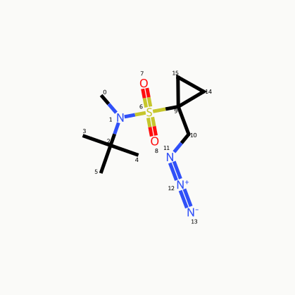 CN(C(C)(C)C)S(=O)(=O)C1(CN=[N+]=[N-])CC1